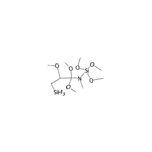 COC(C[SiH3])C(OC)(OC)N(C)[Si](OC)(OC)OC